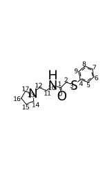 O=C(CSc1ccccc1)NCCN1CCCC1